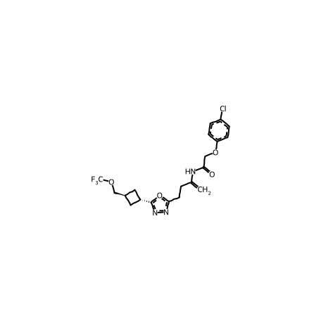 C=C(CCc1nnc([C@H]2C[C@H](COC(F)(F)F)C2)o1)NC(=O)COc1ccc(Cl)cc1